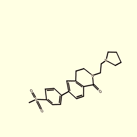 CS(=O)(=O)c1ccc(-c2ccc3c(c2)CCN(CCN2CCCC2)C3=O)cc1